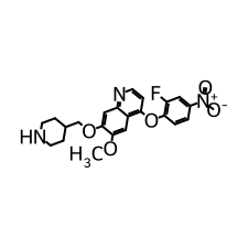 COc1cc2c(Oc3ccc([N+](=O)[O-])cc3F)ccnc2cc1OCC1CCNCC1